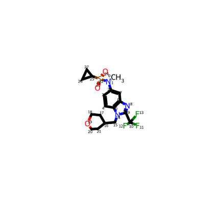 CN(c1ccc2c(c1)nc(C(F)(F)F)n2CC1CCOCC1)S(=O)(=O)C1CC1